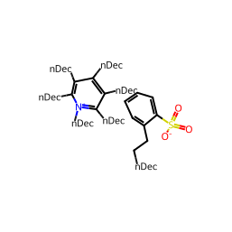 CCCCCCCCCCCCc1ccccc1S(=O)(=O)[O-].CCCCCCCCCCc1c(CCCCCCCCCC)c(CCCCCCCCCC)[n+](CCCCCCCCCC)c(CCCCCCCCCC)c1CCCCCCCCCC